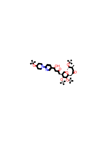 C[C@@H]([C@@H]1O[C@H]1C[C@@H]1OC[C@H](CC(=O)CC(O)c2ccc(N3CCC(O[Si](C)(C)C)CC3)nc2)[C@@H](O[Si](C)(C)C)[C@@H]1O[Si](C)(C)C)[C@H](C)O[Si](C)(C)C